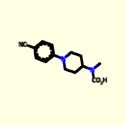 CN(C(=O)O)C1CCN(c2ccc(C#N)cc2)CC1